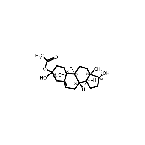 CC(=O)OC1(O)CC[C@@]2(C)C(=CC[C@H]3[C@@H]4CC[C@H](O)[C@@]4(C)CC[C@@H]32)C1